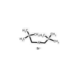 C[Si](C)(C)[CH2][Al+][CH2][Si](C)(C)C.[Br-]